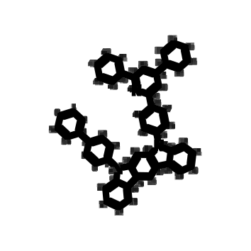 c1ccc(-c2ccc(-n3c4ccccc4c4cc5c6ccccc6n(-c6ccc(-c7cc(-c8ccccc8)cc(-c8ccccc8)n7)cc6)c5cc43)cc2)cc1